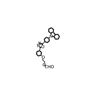 O=COCCOc1cccc(-c2nnc(-c3ccc(-n4c5ccccc5c5ccccc54)cc3)o2)c1